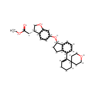 COC(=O)C[C@@H]1COc2cc(O[C@@H]3CCc4c(C5=CCCCC56CCOCC6)cccc43)ccc21